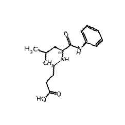 CC(C)C[C@H](NCCCC(=O)O)C(=O)Nc1ccccc1